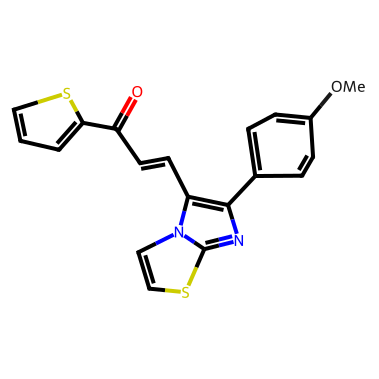 COc1ccc(-c2nc3sccn3c2C=CC(=O)c2cccs2)cc1